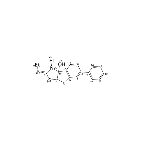 CCN=C1SC2Cc3cc(-c4ccccc4)ccc3C2(O)N1CC